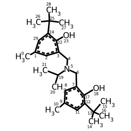 Cc1cc(CN(Cc2cc(C)cc(C(C)(C)C)c2O)C(C)C)c(O)c(C(C)(C)C)c1